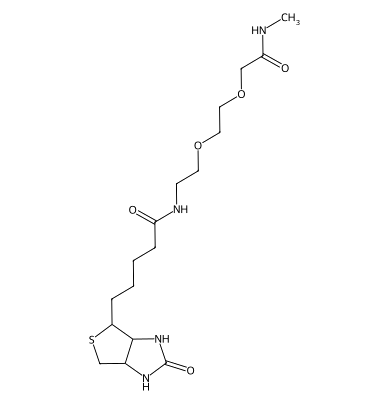 CNC(=O)COCCOCCNC(=O)CCCCC1SCC2NC(=O)NC21